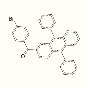 O=C(c1ccc(Br)cc1)c1ccc2c(-c3ccccc3)c3ccccc3c(-c3ccccc3)c2c1